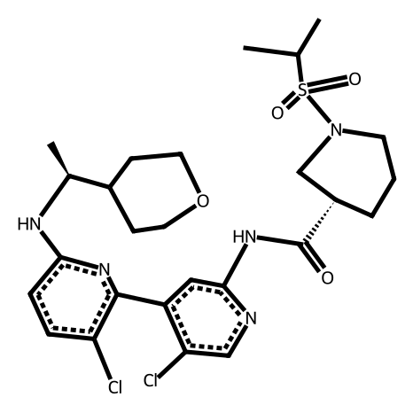 CC(C)S(=O)(=O)N1CCC[C@H](C(=O)Nc2cc(-c3nc(N[C@@H](C)C4CCOCC4)ccc3Cl)c(Cl)cn2)C1